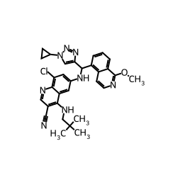 COc1nccc2c(C(Nc3cc(Cl)c4ncc(C#N)c(NCC(C)(C)C)c4c3)c3cn(C4CC4)nn3)cccc12